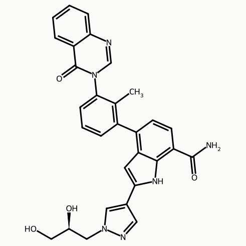 Cc1c(-c2ccc(C(N)=O)c3[nH]c(-c4cnn(C[C@H](O)CO)c4)cc23)cccc1-n1cnc2ccccc2c1=O